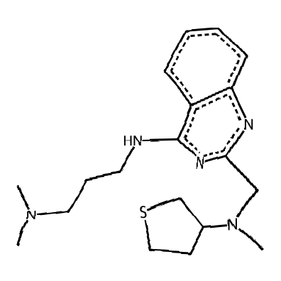 CN(C)CCCNc1nc(CN(C)C2CCSC2)nc2ccccc12